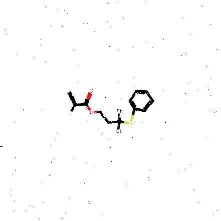 C=C(C)C(=O)OCCC(CC)(CC)Sc1ccccc1